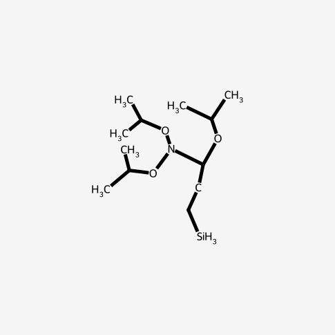 CC(C)OC(CC[SiH3])N(OC(C)C)OC(C)C